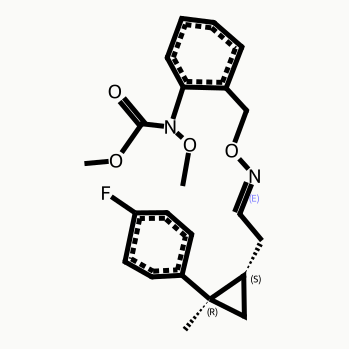 COC(=O)N(OC)c1ccccc1CO/N=C/C[C@@H]1C[C@@]1(C)c1ccc(F)cc1